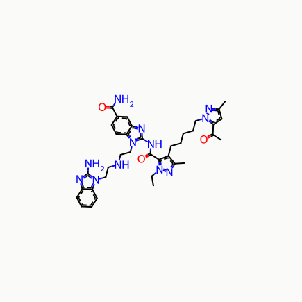 CCn1nc(C)c(CCCCCn2nc(C)cc2C(C)=O)c1C(=O)Nc1nc2cc(C(N)=O)ccc2n1CCNCCn1c(N)nc2ccccc21